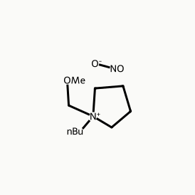 CCCC[N+]1(COC)CCCC1.O=N[O-]